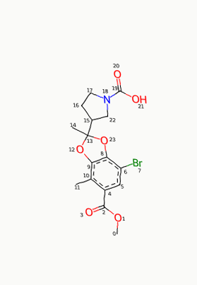 COC(=O)c1cc(Br)c2c(c1C)OC(C)(C1CCN(C(=O)O)C1)O2